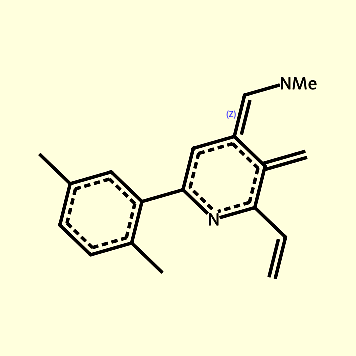 C=Cc1nc(-c2cc(C)ccc2C)c/c(=C/NC)c1=C